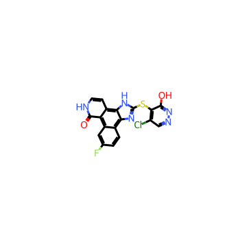 O=c1[nH]ccc2c3[nH]c(Sc4c(Cl)cnnc4O)nc3c3ccc(F)cc3c12